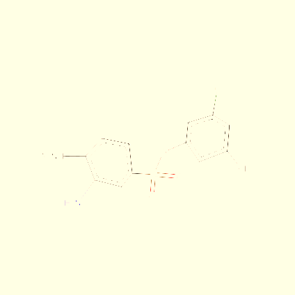 CC(=O)Nc1ccc(S(=O)(=O)Oc2cc(C)cc(Cl)c2)cc1N